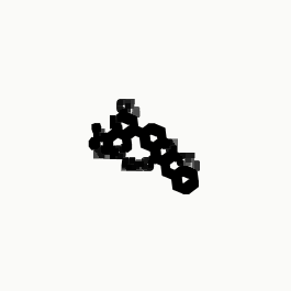 COc1c(Cc2ccccc2)c(C(F)(F)F)nc2ccc(-c3cc(C(F)(F)F)nc(-c4cncn4C)c3CO)cc12